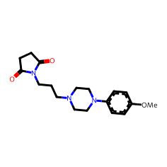 COc1ccc(N2CCN(CCCN3C(=O)CCC3=O)CC2)cc1